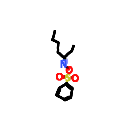 CCCC/C(CC)=N/OS(=O)(=O)c1ccccc1